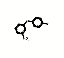 O=[N+]([O-])c1c[c]cc(Oc2ccc(F)cc2)c1